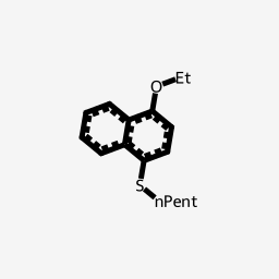 CCCCCSc1ccc(OCC)c2ccccc12